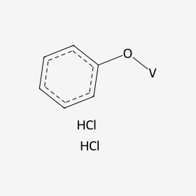 Cl.Cl.[V][O]c1ccccc1